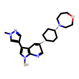 Cn1cc(-c2cn(S)c3ncc([C@H]4CC[C@@H](N5CCCOCC5)CC4)cc23)cn1